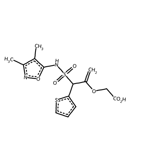 C=C(OCC(=O)O)C(c1cccs1)S(=O)(=O)Nc1onc(C)c1C